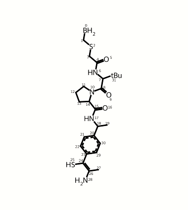 BCSCC(=O)NC(C(=O)N1CCCC1C(=O)NC(C)c1ccc(/C(S)=C(\C)N)cc1)C(C)(C)C